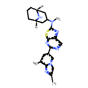 Cc1cn2cc(-c3ncc4nc(N(C)C5C[C@H]6CCC[C@@H](C5)N6)sc4n3)cc(C#N)c2n1